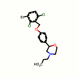 CCc1ccc(Cl)c(COc2ccc(C3CN(CCC(=O)O)CCO3)cc2)c1Cl